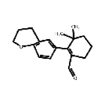 CC1(C)CCCC(C=O)=C1c1ccc2c(c1)CCCO2